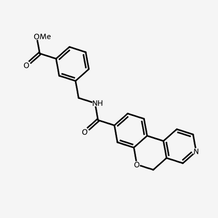 COC(=O)c1cccc(CNC(=O)c2ccc3c(c2)OCc2cnccc2-3)c1